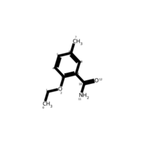 CCOc1ccc(C)cc1C(N)=O